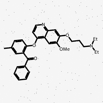 CCN(CC)CCCOc1cc2nccc(Oc3ccc(C)cc3C(=O)c3ccccc3)c2cc1OC